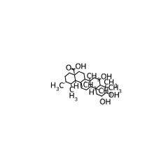 C[C@H]1[C@H](C)CC[C@]2(C(=O)O)CC[C@]3(C)C(=CC[C@@H]4[C@@]5(C)C[C@@H](O)[C@H](O)C(C)(C)C5[C@H](O)C[C@]43C)[C@H]12